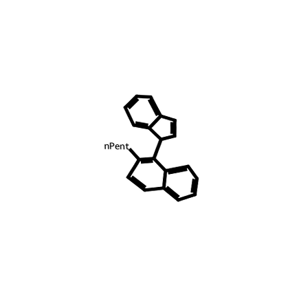 CCCCCc1ccc2ccccc2c1[C]1C=Cc2ccccc21